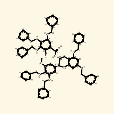 COc1cc([C@@H]2Oc3cc(OCc4ccccc4)cc(OCc4ccccc4)c3C[C@H]2OC(=O)c2cc(OCc3ccccc3)c(OCc3ccccc3)c(OCc3ccccc3)c2F)cc(OCc2ccccc2)c1OCc1ccccc1